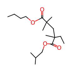 CCCCOC(=O)C(C)(C)CC(C)(CC)C(=O)OCC(C)C